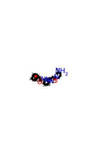 N[C@@H]1CCCN(C(=O)Cc2cn3c(NC(=O)CC45CC6CC(CC(C6)C4)C5)cccc3n2)C1